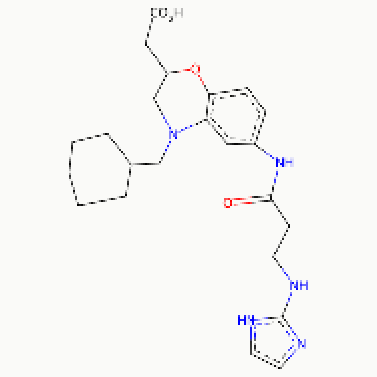 O=C(O)CC1CN(CC2CCCCC2)c2cc(NC(=O)CCNc3ncc[nH]3)ccc2O1